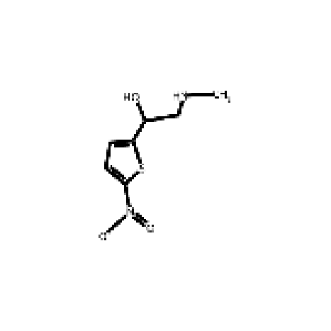 CNCC(O)c1ccc([N+](=O)[O-])s1